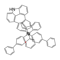 c1ccc(-c2ccc(N(c3ccc(-c4ccccc4)cc3)c3ccc(-c4cccc5[nH]c6cccc(-c7ccc8c(c7)c7ccccc7n8-c7ccccc7)c6c45)cc3)cc2)cc1